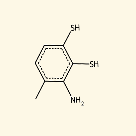 Cc1ccc(S)c(S)c1N